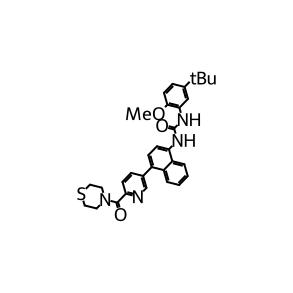 COc1ccc(C(C)(C)C)cc1NC(=O)Nc1ccc(-c2ccc(C(=O)N3CCSCC3)nc2)c2ccccc12